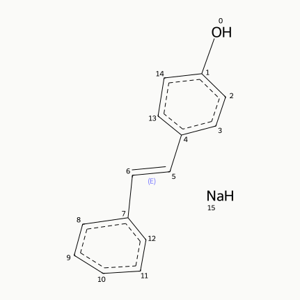 Oc1ccc(/C=C/c2ccccc2)cc1.[NaH]